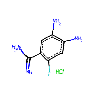 Cl.N=C(N)c1cc(N)c(N)cc1F